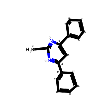 Bc1nc(-c2ccccc2)cc(-c2ccccc2)n1